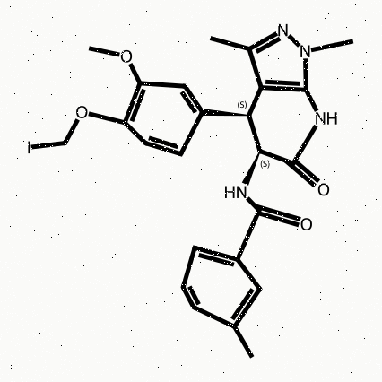 COc1cc([C@H]2c3c(C)nn(C)c3NC(=O)[C@H]2NC(=O)c2cccc(C)c2)ccc1OCI